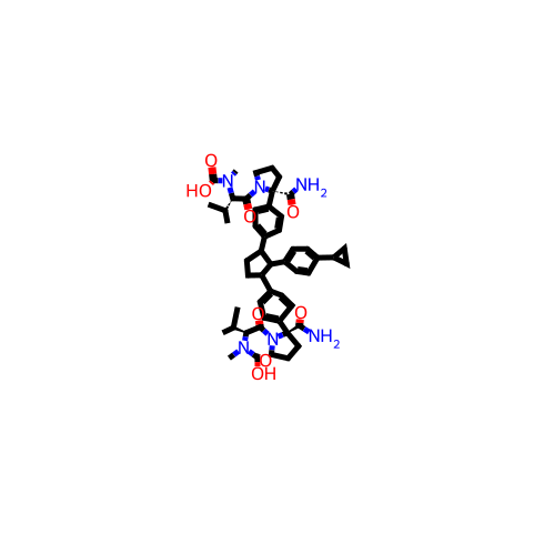 CC(C)[C@@H](C(=O)N1CCC[C@@]1(C(N)=O)c1ccc(C2CCC(c3ccc([C@]4(C(N)=O)CCCN4C(=O)[C@H](C(C)C)N(C)C(=O)O)cc3)C2c2ccc(C3CC3)cc2)cc1)N(C)C(=O)O